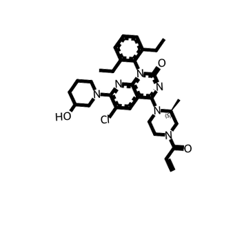 C=CC(=O)N1CCN(c2nc(=O)n(-c3c(CC)cccc3CC)c3nc(N4CCCC(O)C4)c(Cl)cc23)[C@@H](C)C1